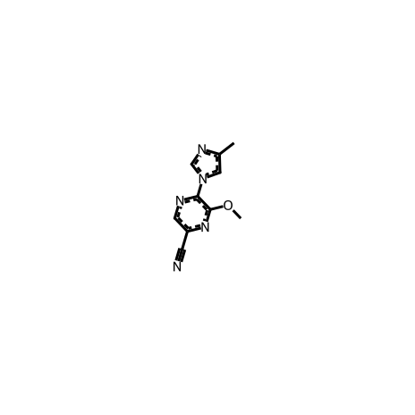 COc1nc(C#N)cnc1-n1cnc(C)c1